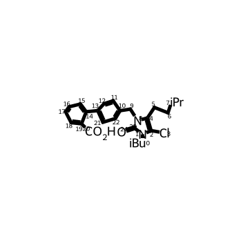 CCC(C)n1c(Cl)c(CCC(C)C)n(Cc2ccc(-c3ccccc3C(=O)O)cc2)c1=O